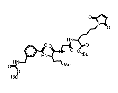 CSCCC(NC(=O)c1cccc(CNC(=O)OC(C)(C)C)c1)C(=O)NCC(=O)NC(CCCCN1C(=O)C=CC1=O)C(=O)OC(C)(C)C